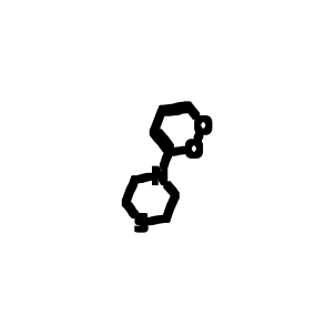 C1=COOC(N2CCSCC2)=C1